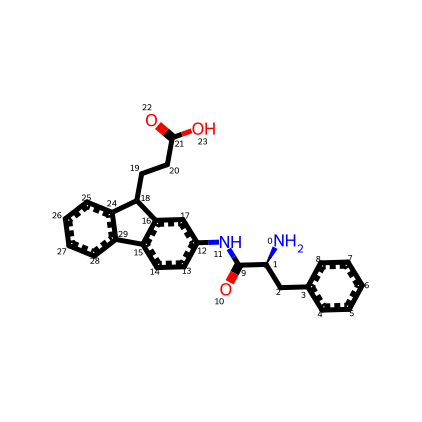 N[C@@H](Cc1ccccc1)C(=O)Nc1ccc2c(c1)C(CCC(=O)O)c1ccccc1-2